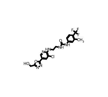 Cc1cc(NC(=O)NCCNc2ncc(-c3nnc(CO)o3)cc2Cl)ccc1C(F)(F)F